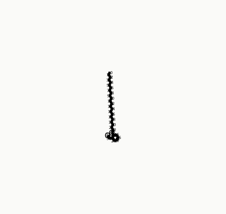 CCCCCCCCCCCCCCCCCCCCCCCOc1ccccc1C=O